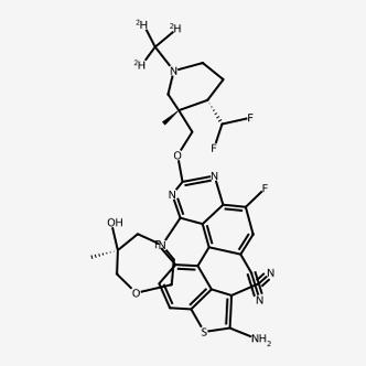 [2H]C([2H])([2H])N1CC[C@H](C(F)F)[C@](C)(COc2nc(N3CCOC[C@@](C)(O)C3)c3c(-c4c(F)ccc5sc(N)c(C#N)c45)c(C#N)cc(F)c3n2)C1